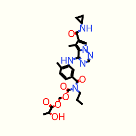 CCCN(C(=O)OCOC(=O)C(C)O)C(=O)c1ccc(C)c(Nc2ncnn3cc(C(=O)NC4CC4)c(C)c23)c1